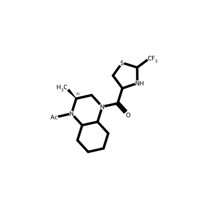 CC(=O)N1C2CCCCC2N(C(=O)C2CSC(C(F)(F)F)N2)C[C@@H]1C